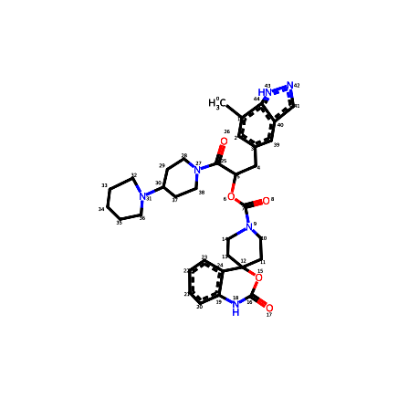 Cc1cc(CC(OC(=O)N2CCC3(CC2)OC(=O)Nc2ccccc23)C(=O)N2CCC(N3CCCCC3)CC2)cc2cn[nH]c12